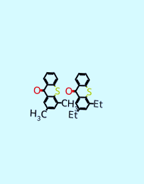 CCc1cc(CC)c2sc3ccccc3c(=O)c2c1.Cc1cc(C)c2sc3ccccc3c(=O)c2c1